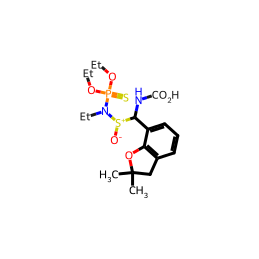 CCOP(=S)(OCC)N(CC)[S+]([O-])C(NC(=O)O)c1cccc2c1OC(C)(C)C2